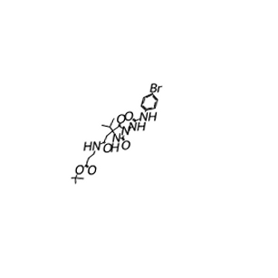 CC(C)C1(CC(=O)NCCC(=O)OC(C)(C)C)NC(=O)N(NC(=O)Nc2ccc(Br)cc2)C1=O